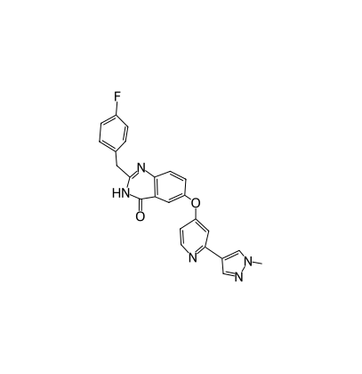 Cn1cc(-c2cc(Oc3ccc4nc(Cc5ccc(F)cc5)[nH]c(=O)c4c3)ccn2)cn1